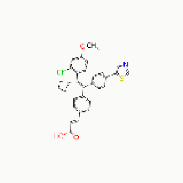 COc1ccc(C(=C(c2ccc(C=CC(=O)O)cc2)c2ccc(-c3cncs3)cc2)C2CCC2)c(Cl)c1